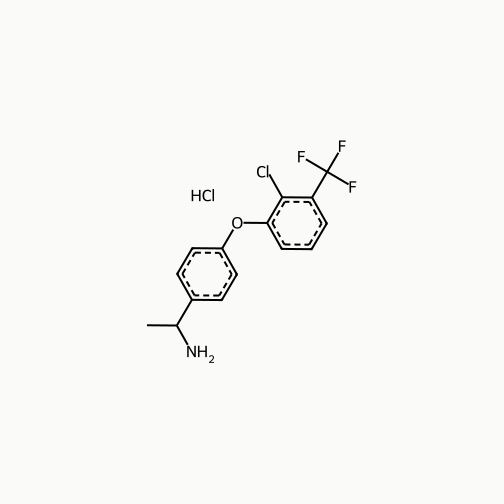 CC(N)c1ccc(Oc2cccc(C(F)(F)F)c2Cl)cc1.Cl